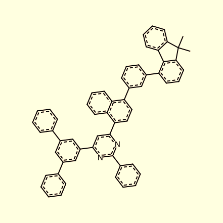 CC1(C)c2ccccc2-c2c(-c3cccc(-c4ccc(-c5cc(-c6cc(-c7ccccc7)cc(-c7ccccc7)c6)nc(-c6ccccc6)n5)c5ccccc45)c3)cccc21